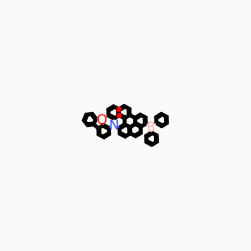 c1ccc(B(c2ccccc2)c2ccc3c4ccccc4c4c(N(c5ccccc5)c5cccc6c5oc5ccccc56)ccc5ccc2c3c54)cc1